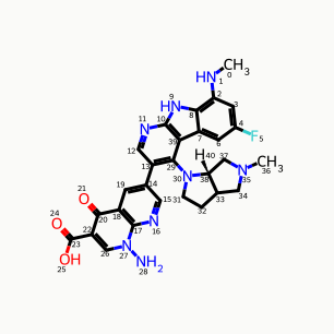 CNc1cc(F)cc2c1[nH]c1ncc(-c3cnc4c(c3)c(=O)c(C(=O)O)cn4N)c(N3CCC4CN(C)C[C@H]43)c12